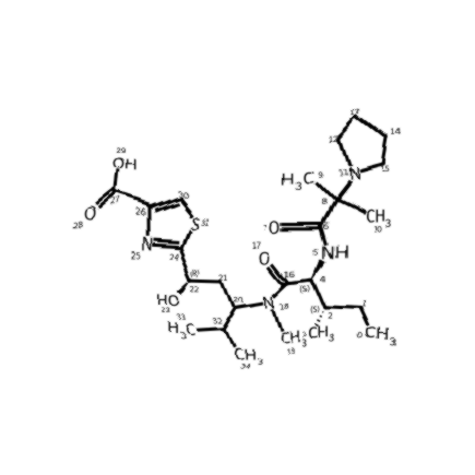 CC[C@H](C)[C@H](NC(=O)C(C)(C)N1CCCC1)C(=O)N(C)C(C[C@@H](O)c1nc(C(=O)O)cs1)C(C)C